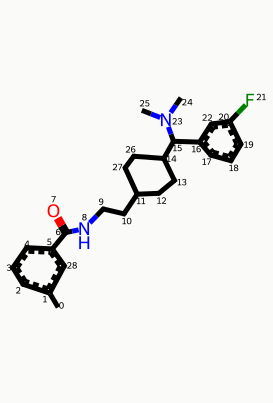 Cc1cccc(C(=O)NCCC2CCC(C(c3cccc(F)c3)N(C)C)CC2)c1